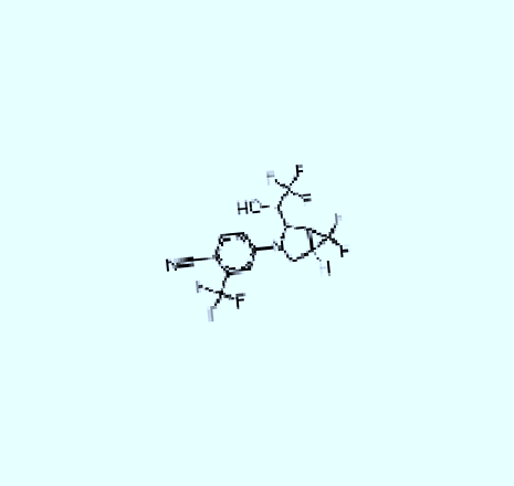 N#Cc1ccc(N2C[C@H]3C([C@@H]2[C@@H](O)C(F)(F)F)C3(F)F)cc1C(F)(F)F